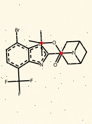 CC(C)(C)OC(=O)N1C2CC1CN(c1nc3c(C(F)(F)F)ccc(Br)c3o1)C2